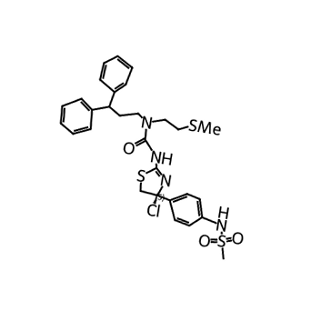 CSCCN(CCC(c1ccccc1)c1ccccc1)C(=O)NC1=N[C@](Cl)(c2ccc(NS(C)(=O)=O)cc2)CS1